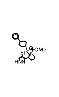 CCc1c[nH]nc1C1CCCN(C(=O)OC)[C@@H]1COC1CCC(c2ccccc2)CC1